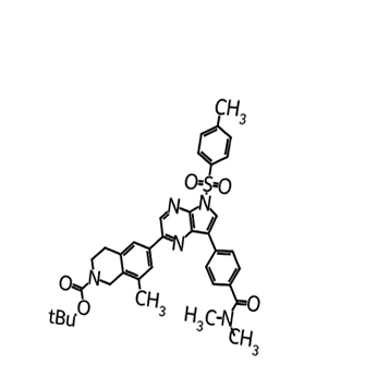 Cc1ccc(S(=O)(=O)n2cc(-c3ccc(C(=O)N(C)C)cc3)c3nc(-c4cc(C)c5c(c4)CCN(C(=O)OC(C)(C)C)C5)cnc32)cc1